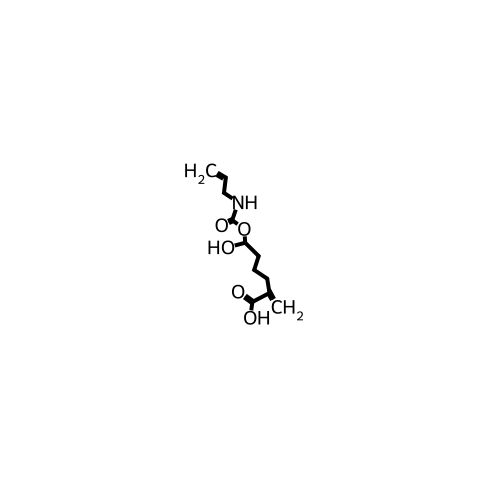 C=CCNC(=O)OC(O)CCCC(=C)C(=O)O